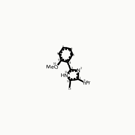 CCCc1nc(-c2ccccc2OC)[nH]c1C